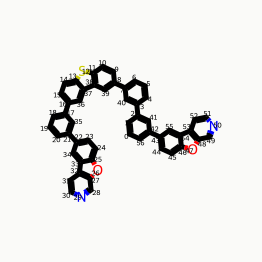 c1cc(-c2cccc(-c3ccc4sc5ccc(-c6cccc(-c7ccc8oc9cnccc9c8c7)c6)cc5c4c3)c2)cc(-c2ccc3oc4cnccc4c3c2)c1